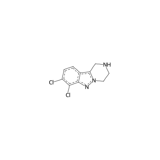 Clc1ccc2c3n(nc2c1Cl)CCNC3